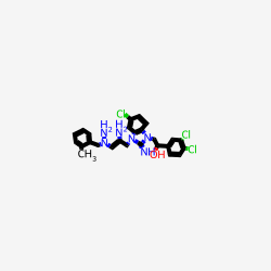 Cc1ccccc1CN(N)/C=C(\N)Cn1c(=N)n(CC(O)c2ccc(Cl)c(Cl)c2)c2ccc(Cl)cc21